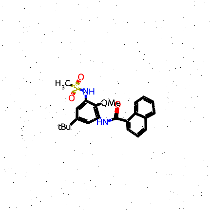 COc1c(NC(=O)c2cccc3ccccc23)cc(C(C)(C)C)cc1NS(C)(=O)=O